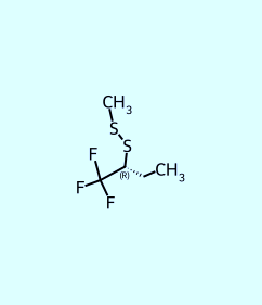 CC[C@@H](SSC)C(F)(F)F